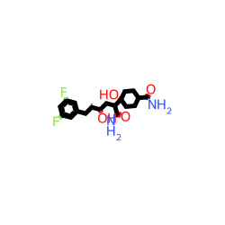 NC(=O)C1CCC(O)(C(CC(O)[CH]Cc2cc(F)cc(F)c2)C(N)=O)CC1